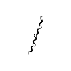 FCCOCCOCCOCCF